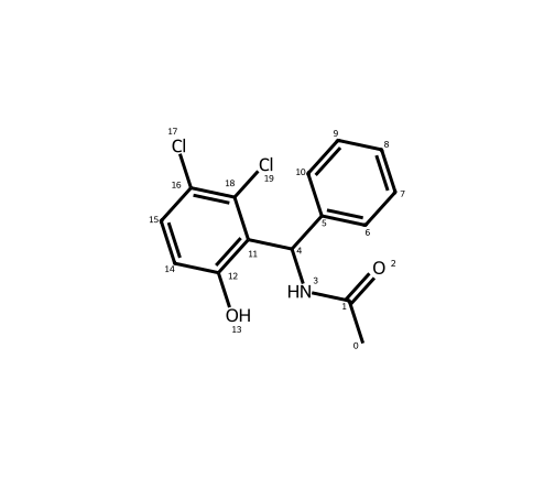 CC(=O)NC(c1ccccc1)c1c(O)ccc(Cl)c1Cl